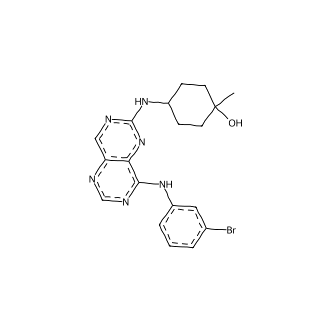 CC1(O)CCC(Nc2ncc3ncnc(Nc4cccc(Br)c4)c3n2)CC1